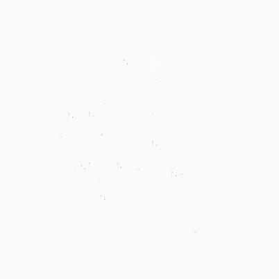 CN1CCC(n2cc(Nc3ncc4cc(C(F)F)nc(N5CC6(CC(O)C6)C5)c4n3)cn2)CC1